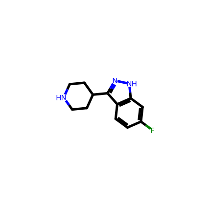 Fc1ccc2c(C3CCNCC3)n[nH]c2c1